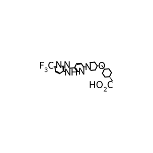 O=C(O)C[C@H]1CC[C@@H](OC2CCN(c3ccc(-c4nc5nc(C(F)(F)F)ccc5[nH]4)cn3)CC2)CC1